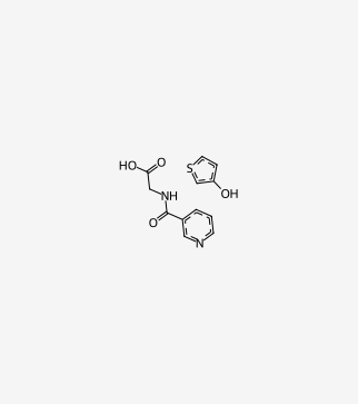 O=C(O)CNC(=O)c1cccnc1.Oc1ccsc1